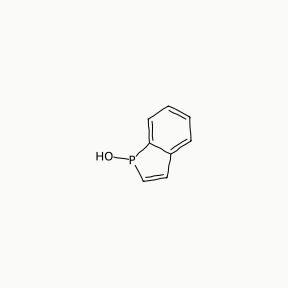 Op1ccc2ccccc21